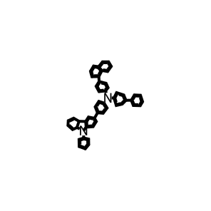 C1=CC2c3cc(-c4ccc(N(c5ccc(-c6ccccc6)cc5)c5ccc(-c6cccc7ccccc67)cc5)cc4)ccc3N(c3ccccc3)C2C=C1